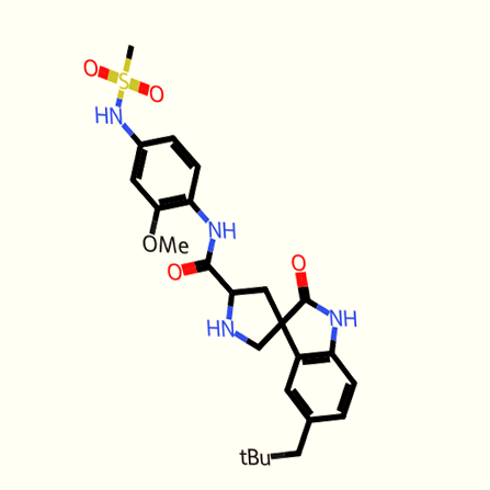 COc1cc(NS(C)(=O)=O)ccc1NC(=O)C1CC2(CN1)C(=O)Nc1ccc(CC(C)(C)C)cc12